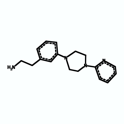 NCCc1cccc(N2CCN(c3ccccn3)CC2)c1